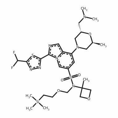 C[C@H]1CN(c2cc(S(=O)(=O)N(COCC[Si](C)(C)C)C3(C)COC3)cn3c(-c4nnc(C(F)F)s4)ncc23)C[C@H](CN(C)C)O1